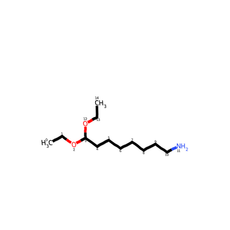 CCOC(CCCCCCCN)OCC